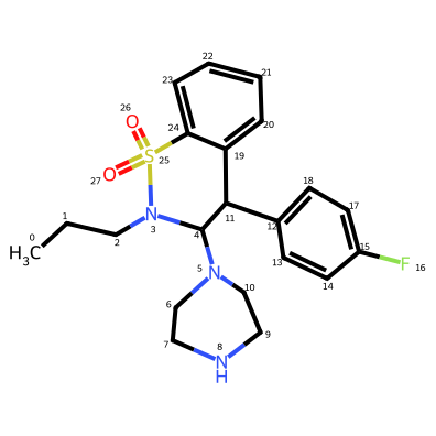 CCCN1C(N2CCNCC2)C(c2ccc(F)cc2)c2ccccc2S1(=O)=O